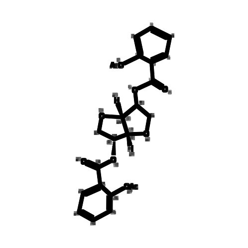 CC(=O)Oc1ccccc1C(=O)OC1CO[C@H]2[C@@H]1OC[C@H]2OC(=O)c1ccccc1OC(C)=O